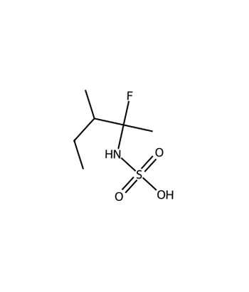 CCC(C)C(C)(F)NS(=O)(=O)O